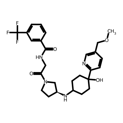 COCc1ccc(C2(O)CCC(N[C@H]3CCN(C(=O)CNC(=O)c4cccc(C(F)(F)F)c4)C3)CC2)nc1